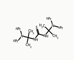 CCCN(CCC)C(C)(C)NC(=S)NC(C)(C)N(CCC)CCC